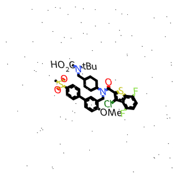 COc1ccc(-c2ccc(S(C)(=O)=O)cc2)cc1CN(C(=O)c1sc2c(F)ccc(F)c2c1Cl)C1CCC(CN(C(=O)O)C(C)(C)C)CC1